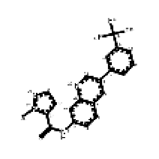 C=C(Nc1ccc2cc(-c3cccc(C(F)(F)F)c3)cnc2c1)c1ccnn1C